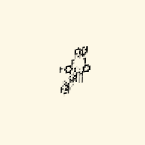 O=C(Nc1cccc(C#Cc2cnc3cccnn23)c1)N1N=C(OC(=O)C(F)(F)F)C[C@H]1c1cc(F)cc(F)c1